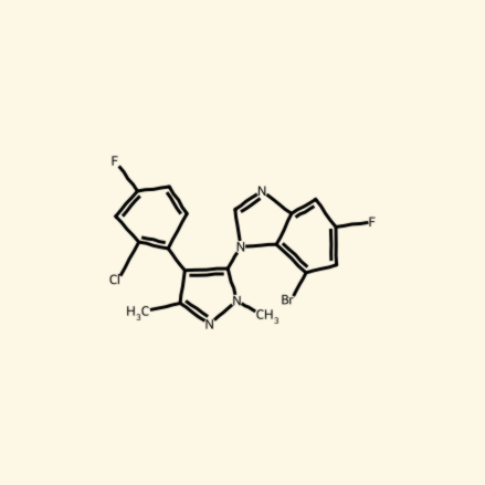 Cc1nn(C)c(-n2cnc3cc(F)cc(Br)c32)c1-c1ccc(F)cc1Cl